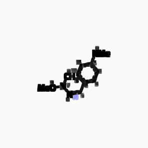 CNc1ccc(/C=N\N(C)OC)cc1